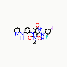 Cc1c(=O)n(C)c(Nc2ccc(I)cc2F)c2c(=O)n(C3CC3)c(=O)n(-c3cccc(Nc4ccccn4)c3)c12